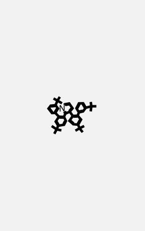 CC(C)(C)c1cccc(-c2cc(C(C)(C)C)ccc2-c2cccnc2-c2ccc(C(C)(C)C)cc2-c2cccc(C(C)(C)C)c2)c1